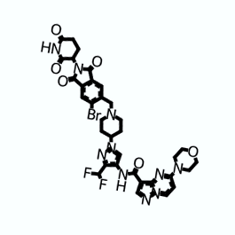 O=C1CCC(N2C(=O)c3cc(Br)c(CN4CCC(n5cc(NC(=O)c6cnn7ccc(N8CCOCC8)nc67)c(C(F)F)n5)CC4)cc3C2=O)C(=O)N1